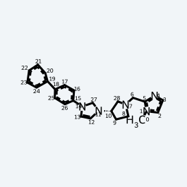 Cn1ccnc1CN1CC[C@H](N2C=CN(c3ccc(-c4ccccc4)cc3)C2)C1